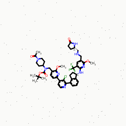 COc1nc(-c2ccnc(-c3cccc4c3CC[C@@H]4Nc3nc(OC)c(CNC[C@@H]4CCC(=O)N4)cc3C(F)(F)F)c2Cl)ccc1CN(C(=O)OC(C)(C)C)C1CCN(C(C)=O)CC1